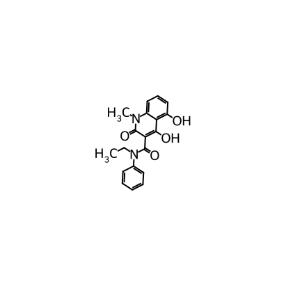 CCN(C(=O)c1c(O)c2c(O)cccc2n(C)c1=O)c1ccccc1